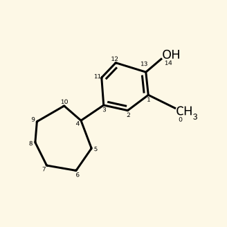 Cc1cc(C2CCCCCC2)ccc1O